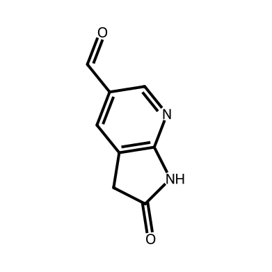 O=Cc1cnc2c(c1)CC(=O)N2